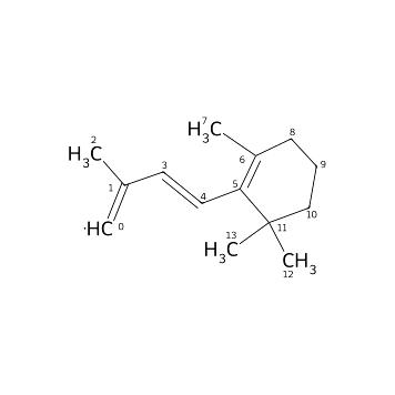 [CH]=C(C)/C=C/C1=C(C)CCCC1(C)C